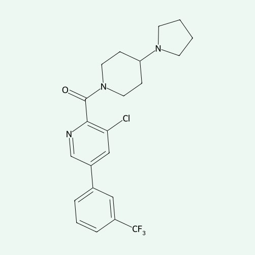 O=C(c1ncc(-c2cccc(C(F)(F)F)c2)cc1Cl)N1CCC(N2CCCC2)CC1